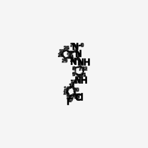 CN(C)c1nc(NC2CCC(NCc3ccc(F)c(Cl)c3)CC2)nc2c1CCCC2